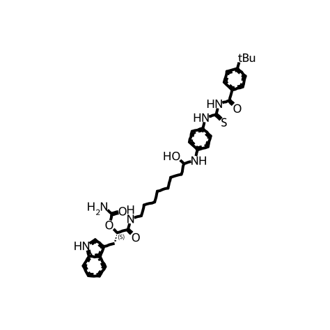 CC(C)(C)c1ccc(C(=O)NC(=S)Nc2ccc(NC(O)CCCCCCCNC(=O)[C@H](Cc3c[nH]c4ccccc34)OC(N)=O)cc2)cc1